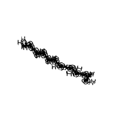 O=P(O)(O)OCC(CNF)COP(=O)(O)OCCOP(=O)(O)OCCOP(=O)(O)OCCOP(=O)(O)OCCOP(=O)(O)OCCOP(=O)(O)OCCOP(=O)(O)OCCOP(=O)(O)OCCOP(=O)(O)OCC(CO)CNF